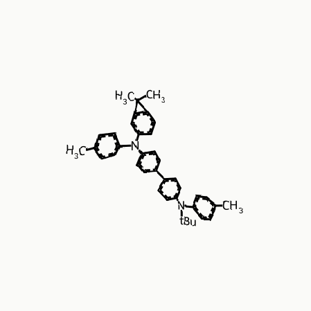 Cc1ccc(N(c2ccc(-c3ccc(N(c4ccc(C)cc4)C(C)(C)C)cc3)cc2)c2ccc3c(c2)C3(C)C)cc1